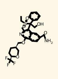 CCS(=O)(=O)C(CO)(c1ccccc1)c1c(C)nc(OC[C@@H]2CC[C@H](C(F)(F)F)OC2)c2ccc(C(N)=O)cc12